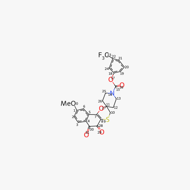 COc1ccc2c(c1)C1=C(SCC3(CCN(C(=O)Oc4cccc(C(F)(F)F)c4)CC3)O1)C(=O)C2=O